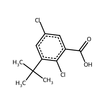 CC(C)(C)c1cc(Cl)cc(C(=O)O)c1Cl